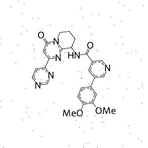 COc1ccc(-c2cncc(C(=O)NC3CCCn4c3nc(-c3ccncn3)cc4=O)c2)cc1OC